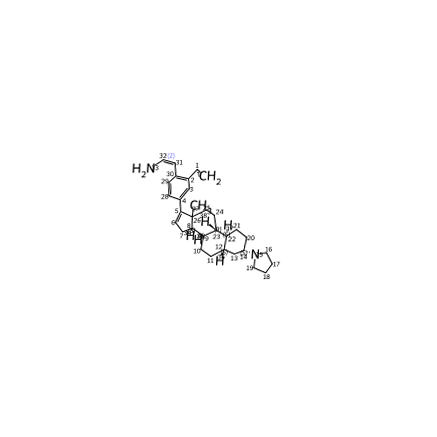 C=Cc1cc(C2=CC[C@H]3[C@@H]4CC[C@H]5C[C@@H](N6CCCC6)CC[C@@H]5[C@H]4CCC23C)ccc1/C=C\N